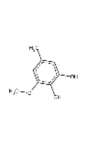 COc1cc(C)cc(O)c1O